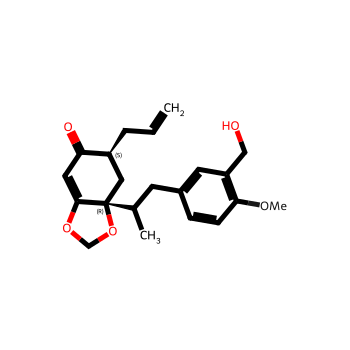 C=CC[C@H]1C[C@]2(C(C)Cc3ccc(OC)c(CO)c3)OCOC2=CC1=O